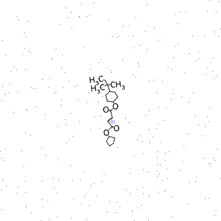 CCC(C)(C)C1CCC(OC(=O)/C=C/C(=O)OC2CCCC2)CC1